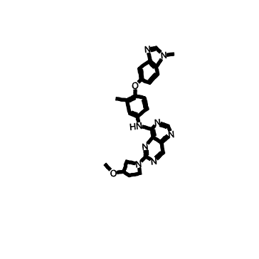 COC1CCN(c2ncc3ncnc(Nc4ccc(Oc5ccc6c(c5)ncn6C)c(C)c4)c3n2)C1